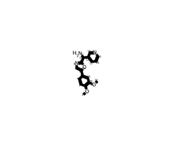 COc1ccc(-c2cnc(C(N)c3cccnc3)o2)cc1OC